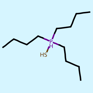 CCCC[PH](S)(CCCC)CCCC